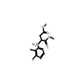 COC(=O)CC([SiH2]c1cccc(C)c1C)C(=O)OC